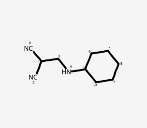 N#CC(C#N)CNC1CCCCC1